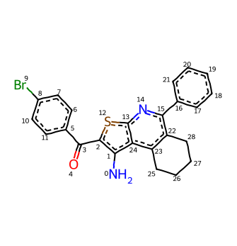 Nc1c(C(=O)c2ccc(Br)cc2)sc2nc(-c3ccccc3)c3c(c12)CCCC3